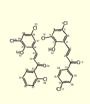 O=C(C=Cc1cc(Cl)cc(Cl)c1O)c1ccc(Cl)cc1.O=C(C=Cc1cc(Cl)cc(Cl)c1O)c1ccccc1Cl